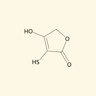 O=C1OCC(O)=C1S